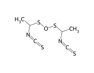 CC(N=C=S)SOSC(C)N=C=S